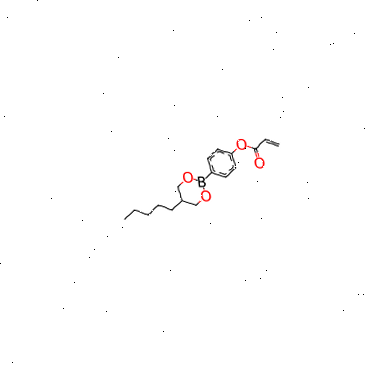 C=CC(=O)Oc1ccc(B2OCC(CCCCC)CO2)cc1